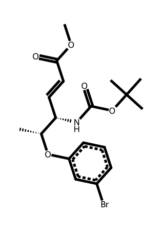 COC(=O)/C=C/[C@H](NC(=O)OC(C)(C)C)[C@@H](C)Oc1cccc(Br)c1